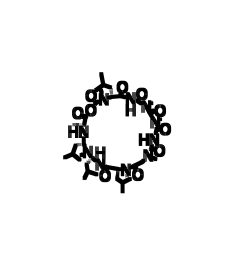 CC(C)C[C@@H]1C(=O)NC(=O)N(C)C(=O)N(C)C(=O)NC(=O)N(C)CC(=O)N(C)[C@@H](CC(C)C)C(=O)N[C@H](CC(C)C)N(C)[C@H](CC(C)C)N[C@H](C)C(=O)OC(=O)N1C